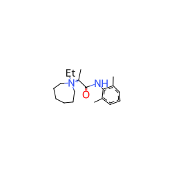 CC[N+]1(C(C)C(=O)Nc2c(C)cccc2C)CCCCCC1